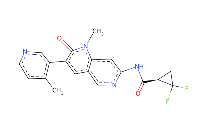 Cc1ccncc1-c1cc2cnc(NC(=O)[C@H]3CC3(F)F)cc2n(C)c1=O